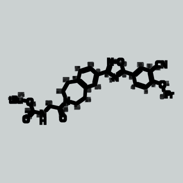 CC(C)Oc1ccc(-c2nc(-c3ccc4c(c3)CCN(C(=O)CNC(=O)OC(C)(C)C)CC4)no2)cc1C#N